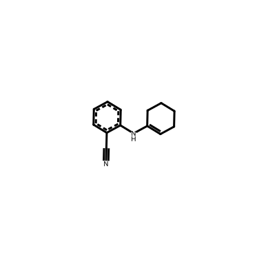 N#Cc1ccccc1NC1=CCCCC1